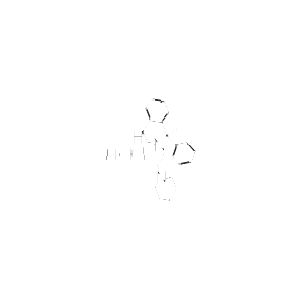 CC1(c2ccccc2)c2ccccc2CCN1CCN1CCCCC1.Cl.Cl